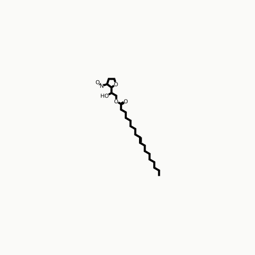 CCCCCCCC/C=C/CCCCCCCC(=O)OCC(O)C1OCCC1N=O